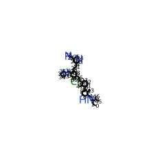 CCC(NCc1cccc(-c2cccc(CCc3cc(CCc4cncc(C#N)c4)c(CN4CCCC4)cc3Cl)c2C)c1C)C(C)C